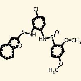 COc1ccc([S+]([O-])Nc2ccc(Cl)cc2NSc2cc3ccccc3o2)c(OC)c1